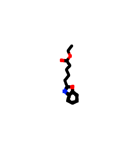 CCOC(=O)CCCCc1nc2ccccc2o1